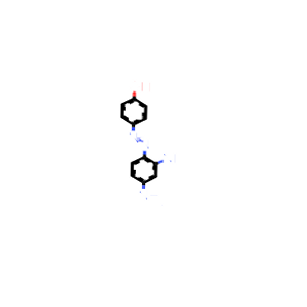 Nc1ccc(/N=N/c2ccc(O)cc2)c(N)c1